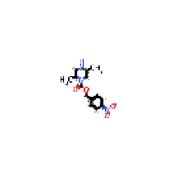 CC1CN(C(=O)OCc2ccc([N+](=O)[O-])cc2)C(C)CN1